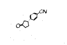 N#Cc1ccc([C@@H]2CCC(=O)C2)cc1